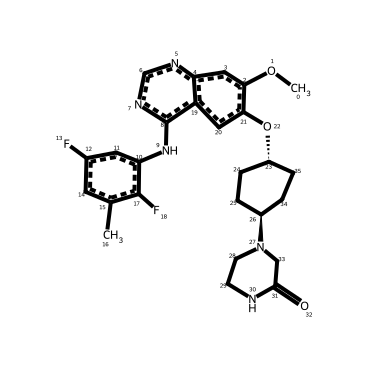 COc1cc2ncnc(Nc3cc(F)cc(C)c3F)c2cc1O[C@H]1CC[C@H](N2CCNC(=O)C2)CC1